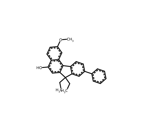 CCC1(CC)c2cc(-c3ccccc3)ccc2-c2c1cc(O)c1ccc(OC)cc21